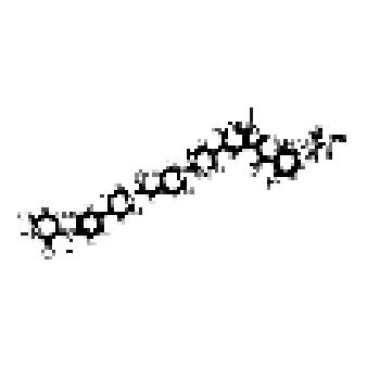 CCN(C)S(=O)(=O)Nc1ccc(F)c(C(=O)c2c[nH]c3ncc(-c4cnc(N5CCC(CC(=O)N6CCC(c7ccc(N[C@@H]8CCC(=O)NC8=O)cc7)CC6)CC5)nc4)cc23)c1F